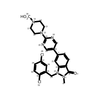 Cn1c(=O)c2ccc(-c3cnc(N4CCN(C(=O)O)CC4)nc3)cc2n1Cc1cc(Cl)ccc1Cl